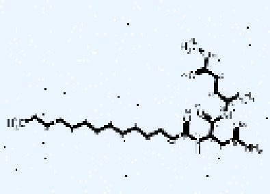 CCCCCCCCCCCCCC(=O)NC(CC(N)=O)C(=O)NC(C)CCC(=O)OC